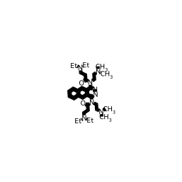 CCN(CC)CCC(=O)N(CCN(C)C)c1nnc(N(CCN(C)C)C(=O)CCN(CC)CC)c2cc3ccccc3cc12